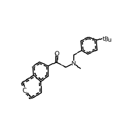 CN(CC(=O)c1ccc2ccccc2c1)Cc1ccc(C(C)(C)C)cc1